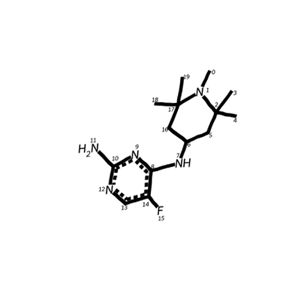 CN1C(C)(C)CC(Nc2nc(N)ncc2F)CC1(C)C